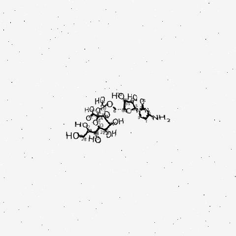 Nc1ccn([C@@H]2O[C@H](COP(=O)(O)O[C@@]3(C(=O)O)CC(O)[C@@H](O)C([C@H](O)[C@H](O)CO)O3)[C@H](O)[C@@H]2O)c(=O)n1